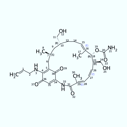 C=CCNC1=C2C[C@@H](C)C[C@H](CO)CC/C=C(\C)[C@H](OC(N)=O)[C@@H](CO)/C=C\C=C(/C)C(=O)NC(=CC1=O)C2=O